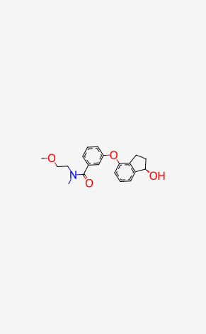 COCCN(C)C(=O)c1cccc(Oc2cccc3c2CC[C@H]3O)c1